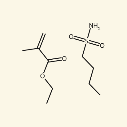 C=C(C)C(=O)OCC.CCCCS(N)(=O)=O